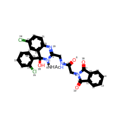 CC(=O)NN1C(CNC(=O)CN2C(=O)c3ccccc3C2=O)=Nc2ccc(Cl)cc2C1(O)c1ccccc1Cl